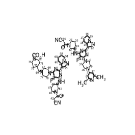 Cc1cc(N2CCN(c3nc(-c4cnn5ccccc45)nc(N[C@@H]4CCCN(C(=O)CC#N)C4)c3F)CC2)cc(C)n1.N#CCC(=O)N1CCC[C@@H](Nc2nc(-c3cnn4ccccc34)nc(N3CCN(CC4CCN(C(=O)O)CC4)CC3)c2F)C1